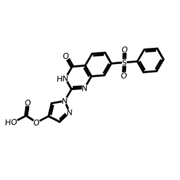 O=C(O)Oc1cnn(-c2nc3cc(S(=O)(=O)c4ccccc4)ccc3c(=O)[nH]2)c1